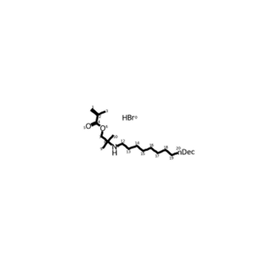 Br.C=C(C)C(=O)OCC(C)(C)NCCCCCCCCCCCCCCCCCC